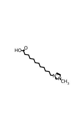 Cn1cc[n+](CCCCCCCCCCCC(=O)O)c1